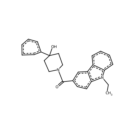 CCn1c2ccccc2c2cc(C(=O)N3CCC(O)(c4ccccc4)CC3)ccc21